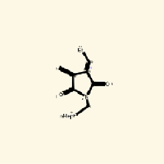 C=C1C(=O)N(CCCCCCCC)C(=O)/C1=C/CC